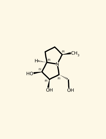 C[C@@H]1CC[C@@H]2[C@H](O)[C@H](O)[C@@H](CO)N12